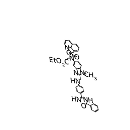 CCOC(=O)CN(c1ccc2c(c1)nc(CNc1ccc(C(=N)NC(=O)c3ccccc3)cc1)n2C)S(=O)(=O)c1cccc2cccnc12